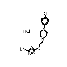 Cl.Nc1nnc(SCCN2CCN(c3ccc(Cl)cc3)CC2)s1